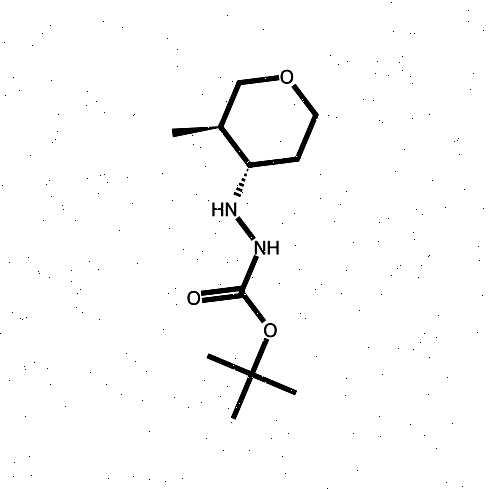 C[C@H]1COCC[C@@H]1NNC(=O)OC(C)(C)C